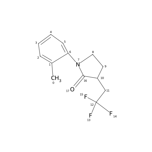 Cc1ccccc1N1CCC(CC(F)(F)F)C1=O